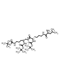 CC(C)C[C@H](N)C(=O)NCCCC[C@H](NC(=O)OC(C)(C)C)C(=O)NC[C@H](CCCNC(=O)OC(C)(C)C)NC(=O)OC(C)(C)C